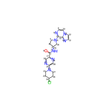 O=C(N[C@H]1CCN(c2nccn3ccnc23)C1)c1cnc(N2CCC(Cl)CC2)cn1